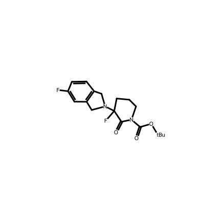 CC(C)(C)OC(=O)N1CCCC(F)(N2Cc3ccc(F)cc3C2)C1=O